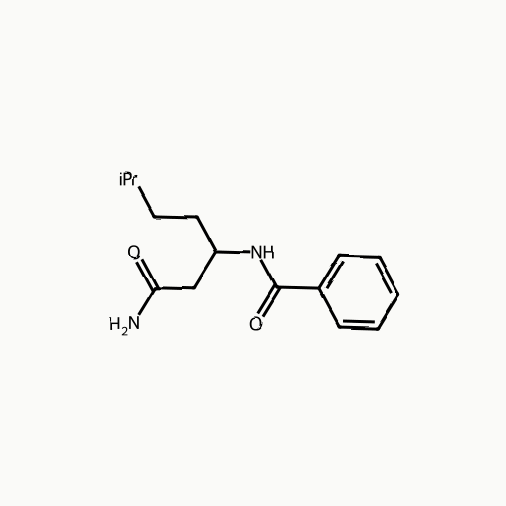 CC(C)CCC(CC(N)=O)NC(=O)c1ccccc1